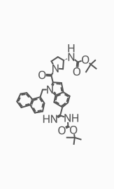 CC(C)(C)OC(=O)NC(=N)c1ccc2cc(C(=O)N3CC[C@H](NC(=O)OC(C)(C)C)C3)n(Cc3cccc4ccccc34)c2c1